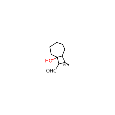 C[C@H]1C(C=O)C2(O)CCCCCC12